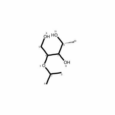 CC(C)OC(CO)C(O)[C@@H](C)O